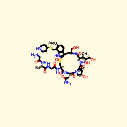 CC[C@H](C)[C@H](NC(=O)CN)C(=O)NCC(=O)N[C@H]1C[S+]([O-])c2[nH]c3c(CSC4CCNCC4)c(OC)ccc3c2C[C@@H](CO)NC(=O)[C@H]([C@@H](C)[C@@H](O)CO)NC(=O)[C@@H]2C[C@@H](O)CN2C(=O)[C@H](CC(N)=O)NC1=O